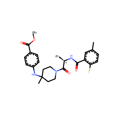 Cc1ccc(F)c(C(=O)N[C@@H](C(=O)N2CCC(C)(Nc3ccc(C(=O)OC(C)(C)C)cc3)CC2)C(C)C)c1